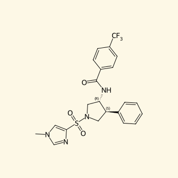 Cn1cnc(S(=O)(=O)N2C[C@H](NC(=O)c3ccc(C(F)(F)F)cc3)[C@@H](c3ccccc3)C2)c1